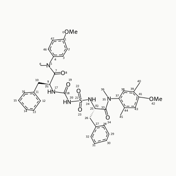 COc1ccc(N(C)C(=O)[C@H](Cc2ccccc2)NC(=O)NS(=O)(=O)N[C@@H](Cc2ccccc2)C(=O)N(C)c2cc(C)c(OC)cc2C)cc1